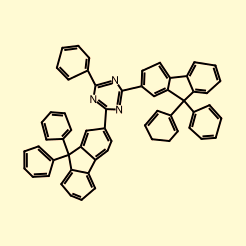 C1=CC(C2(c3ccccc3)c3ccccc3-c3ccc(-c4nc(-c5ccccc5)nc(-c5ccc6c(c5)C(c5ccccc5)(c5ccccc5)c5ccccc5-6)n4)cc32)=CCC1